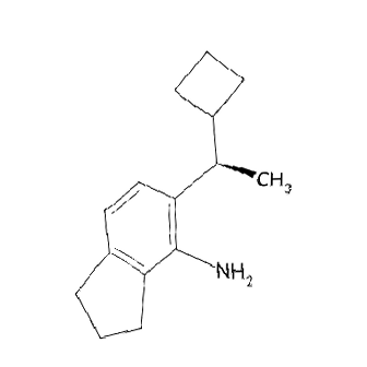 C[C@@H](c1ccc2c(c1N)CCC2)C1CCC1